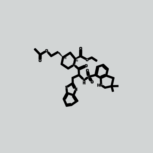 CCOC(=O)[C@@H]1C[C@@H](CCOC(C)=O)CCN1C(=O)C(Cc1nc2ccccc2s1)NS(=O)(=O)c1cccc2c1NCC(C)(C)C2